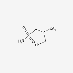 CC(CCl)CS(N)(=O)=O